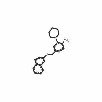 Cc1cnc(CSc2ccc3ccccc3c2)cc1N1CCCCC1